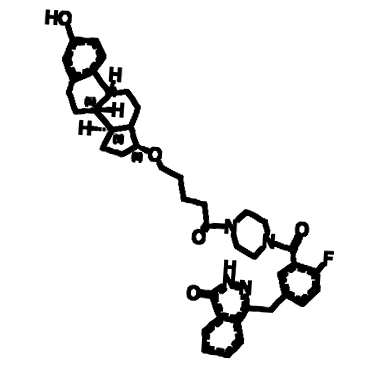 O=C(CCCCO[C@H]1CC[C@@H]2C1CC[C@@H]1c3ccc(O)cc3CC[C@H]12)N1CCN(C(=O)c2cc(Cc3n[nH]c(=O)c4ccccc34)ccc2F)CC1